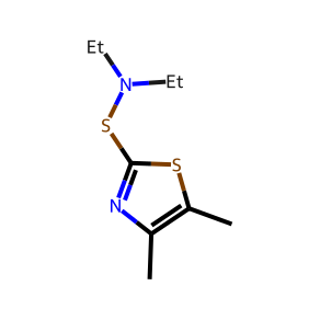 CCN(CC)Sc1nc(C)c(C)s1